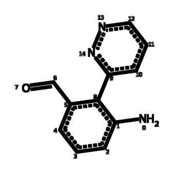 Nc1cccc(C=O)c1-c1cccnn1